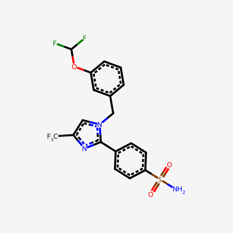 NS(=O)(=O)c1ccc(-c2nc(C(F)(F)F)cn2Cc2cccc(OC(F)F)c2)cc1